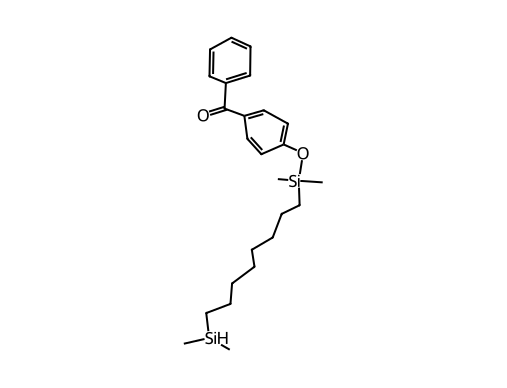 C[SiH](C)CCCCCCCC[Si](C)(C)Oc1ccc(C(=O)c2ccccc2)cc1